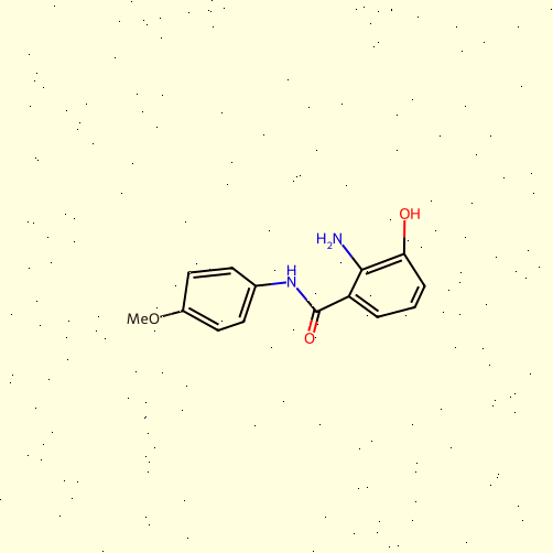 COc1ccc(NC(=O)c2cccc(O)c2N)cc1